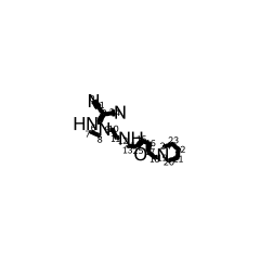 N#CC(C#N)=C1NCCN1CCNCc1ccc(CN2CCCCC2)o1